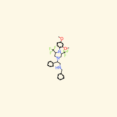 COc1ccc(N2C(C(F)(F)F)CN(C(CNCc3ccccc3)c3ccccc3)CC2C(F)(F)F)c(OC)c1